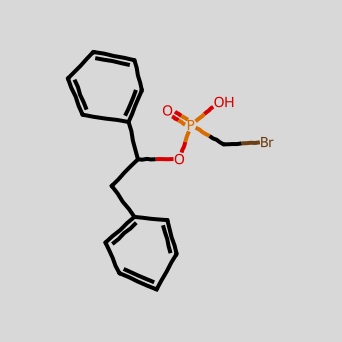 O=P(O)(CBr)OC(Cc1ccccc1)c1ccccc1